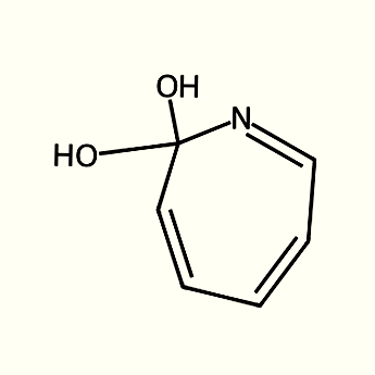 OC1(O)C=CC=CC=N1